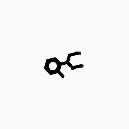 Cc1ccccc1C(CO)OC(C)C